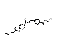 C=CCCC(=O)Nc1ccc(C(=O)/C=C/c2ccc(N(C)CCO)cc2)cc1